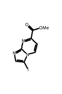 COC(=O)c1ccn2c(I)cnc2n1